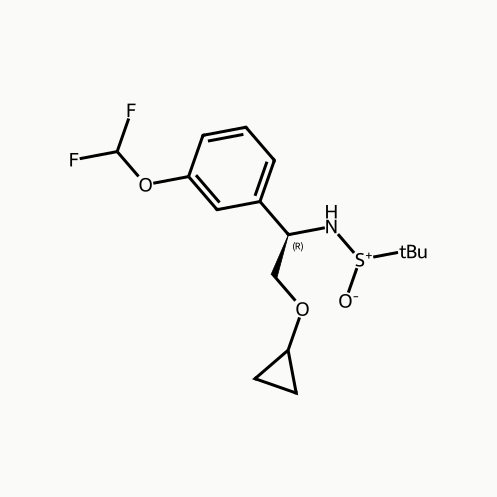 CC(C)(C)[S+]([O-])N[C@@H](COC1CC1)c1cccc(OC(F)F)c1